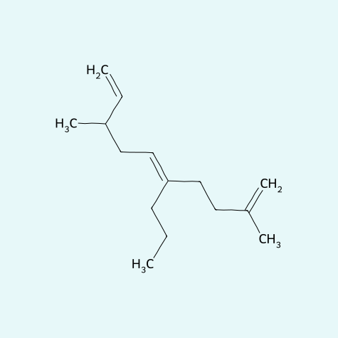 C=CC(C)C/C=C(\CCC)CCC(=C)C